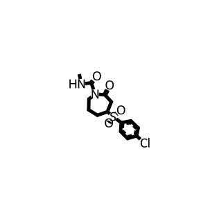 CNC(=O)N1CCCC(S(=O)(=O)c2ccc(Cl)cc2)CC1=O